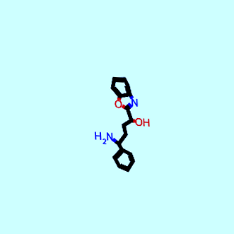 NC(CCC(O)c1nc2ccccc2o1)c1ccccc1